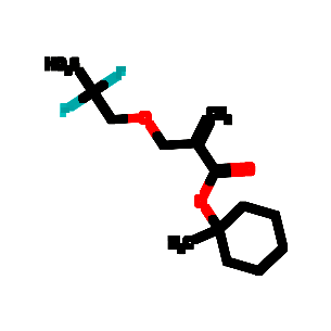 C=C(COCC(F)(F)S(=O)(=O)O)C(=O)OC1(C)CCCCC1